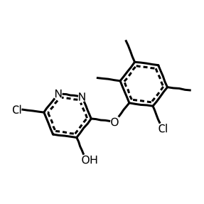 Cc1cc(C)c(Cl)c(Oc2nnc(Cl)cc2O)c1C